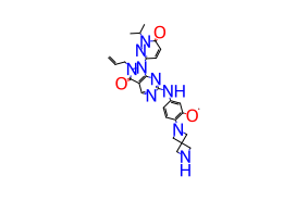 C=CCn1c(=O)c2cnc(Nc3ccc(N4CC5(CNC5)C4)c(OC)c3)nc2n1-c1ccc(=O)n(C(C)C)n1